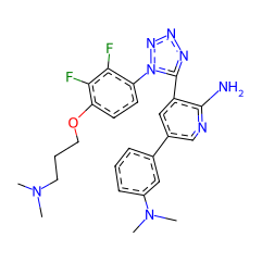 CN(C)CCCOc1ccc(-n2nnnc2-c2cc(-c3cccc(N(C)C)c3)cnc2N)c(F)c1F